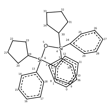 c1ccc([Si](O[Si](c2ccccc2)(c2ccccc2)C2CCCC2)(c2ccccc2)C2CCCC2)cc1